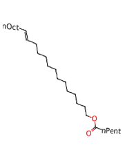 CCCCCCCCC=CCCCCCCCCCCCCOC(=O)CCCCC